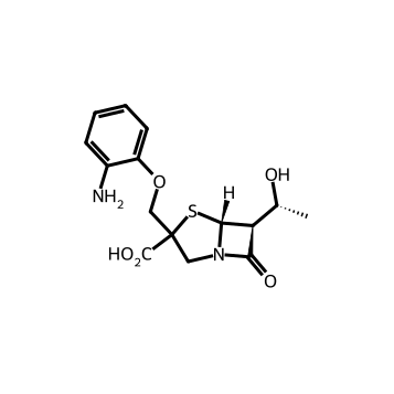 C[C@@H](O)[C@H]1C(=O)N2CC(COc3ccccc3N)(C(=O)O)S[C@H]12